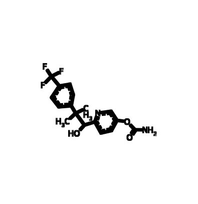 CC(C)(c1ccc(C(F)(F)F)cc1)C(O)c1ccc(OC(N)=O)cn1